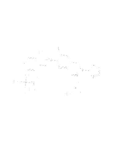 CN(Cc1cccc(F)c1CNc1ncc(SN(C(=O)OC(C)(C)C)c2cscn2)cc1Cl)C(C)(C)C